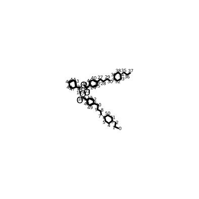 CCC[C@H]1CC[C@H](CCCCc2ccc(C(=O)OC[C@H](OC(=O)c3ccc(CCCC[C@H]4CC[C@H](CCC)CC4)cc3)c3ccccc3)cc2)CC1